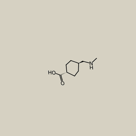 CNC[C@H]1CC[C@H](C(=O)O)CC1